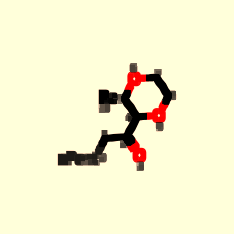 CCCCCCC(=O)C1COCCO1.[Re]